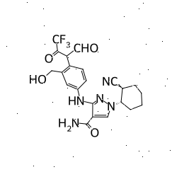 N#C[C@H]1CCCC[C@@H]1n1cc(C(N)=O)c(Nc2ccc(C(C=O)C(=O)C(F)(F)F)c(CO)c2)n1